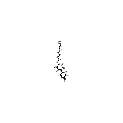 F/C=C/CCCCCCC1CCC(c2ccc(F)cc2)CC1